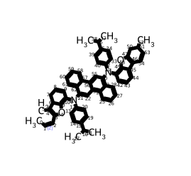 C/C=C\C1=C(C)C2CC=CC(N(c3ccc(C(C)C)cc3)c3cc4c5ccccc5c(N(c5ccc(C(C)C)cc5)c5cccc6c7c(oc56)CC(C)C=C7)cc4c4ccccc34)=C2O1